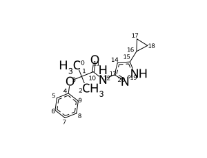 CC(C)(Oc1ccccc1)C(=O)Nc1cc(C2CC2)[nH]n1